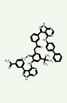 COc1c(CC(=O)c2cccc(-c3n[nH]c4ncnc(Nc5ccc(-c6ccccc6)cc5)c34)c2)cc(C(C)(C)C)cc1Nc1ncnc2[nH]nc(-c3cccc(C(C)=O)c3)c12